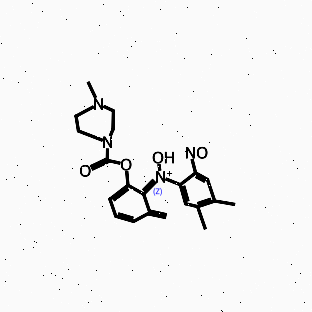 C=C1C=CC=C(OC(=O)N2CCN(C)CC2)/C1=[N+](\O)c1cc(C)c(C)cc1N=O